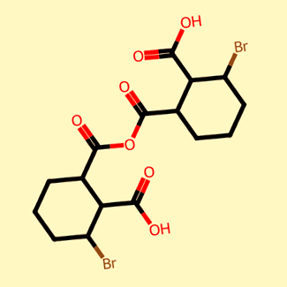 O=C(OC(=O)C1CCCC(Br)C1C(=O)O)C1CCCC(Br)C1C(=O)O